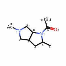 CC(=O)N1CC2CC(C)N(C(=O)C(C)(C)C)C2C1